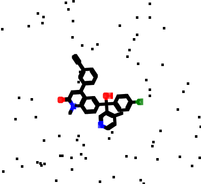 C#Cc1cccc(-c2cc(=O)n(C)c3ccc(C(O)(c4ccc(Cl)cc4)c4cnccc4C)cc23)c1